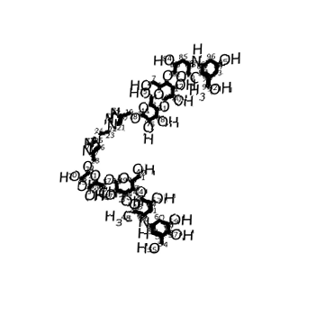 CC1OC(OC2C(CO)OC(OC3C(CO)OC(OCc4cn(CCn5cc(COC(OC(CO)[C@@H](C)OC6OC(CO)C(OC7OC(C)[C@H](N[C@H]8C=C(CO)[C@@H](O)[C@@H](O)C8)C[C@H]7O)C(O)C6O)C(O)O)nn5)nn4)C(O)C3O)C(O)C2O)[C@@H](O)C[C@@H]1N[C@@H]1C=C(CO)C[C@H](O)C1